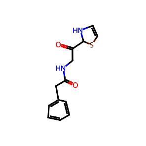 O=C(Cc1ccccc1)NCC(=O)C1NC=CS1